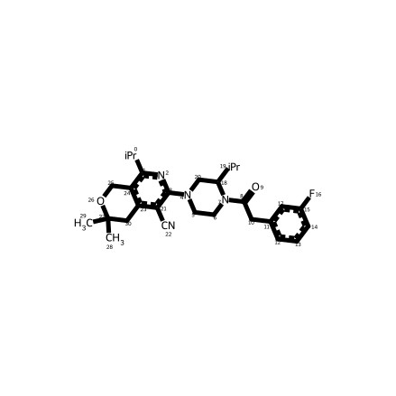 CC(C)c1nc(N2CCN(C(=O)Cc3cccc(F)c3)C(C(C)C)C2)c(C#N)c2c1COC(C)(C)C2